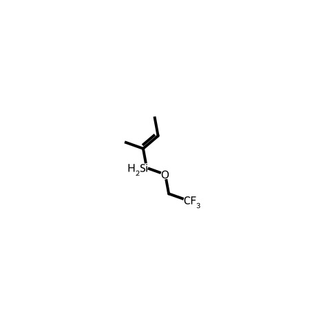 CC=C(C)[SiH2]OCC(F)(F)F